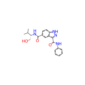 CC(C)[C@@H](CO)NC(=O)c1ccc2[nH]nc(C(=O)Nc3ccccc3)c2c1